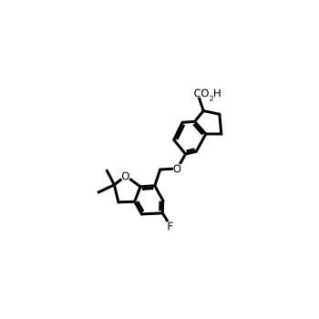 CC1(C)Cc2cc(F)cc(COc3ccc4c(c3)CCC4C(=O)O)c2O1